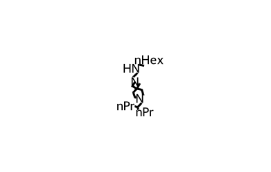 CCCCCCC(C)NCCN1CC2(CCN(CC(CCC)CCC)CC2)C1